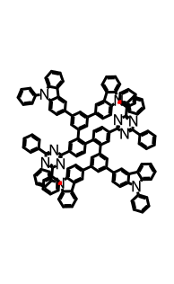 c1ccc(-c2nc(-c3ccccc3)nc(-c3ccc(-c4ccc(-c5nc(-c6ccccc6)nc(-c6ccccc6)n5)cc4-c4cc(-c5ccc6c(c5)c5ccccc5n6-c5ccccc5)cc(-c5ccc6c(c5)c5ccccc5n6-c5ccccc5)c4)c(-c4cc(-c5ccc6c(c5)c5ccccc5n6-c5ccccc5)cc(-c5ccc6c(c5)c5ccccc5n6-c5ccccc5)c4)c3)n2)cc1